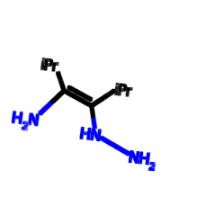 CC(C)/C(N)=C(/NN)C(C)C